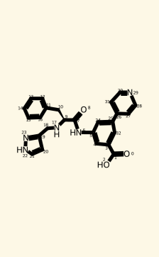 O=C(O)c1cc(NC(=O)[C@H](Cc2ccccc2)NCc2cc[nH]n2)cc(-c2ccncc2)c1